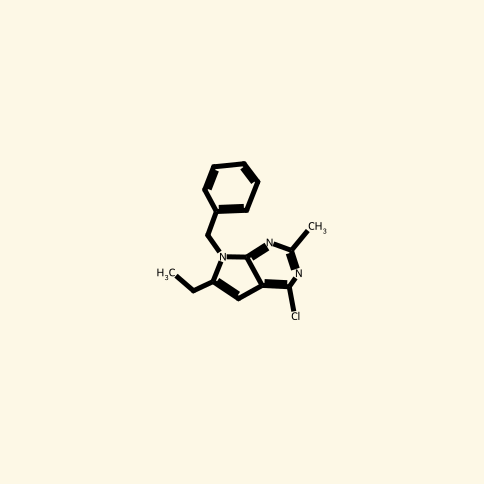 CCc1cc2c(Cl)nc(C)nc2n1Cc1ccccc1